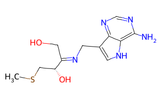 CSC[C@@H](O)/C(CO)=N/Cc1c[nH]c2c(N)ncnc12